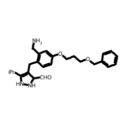 CC(C)C1=C(Cc2ccc(OCCCOCc3ccccc3)cc2CN)C(C=O)NN1